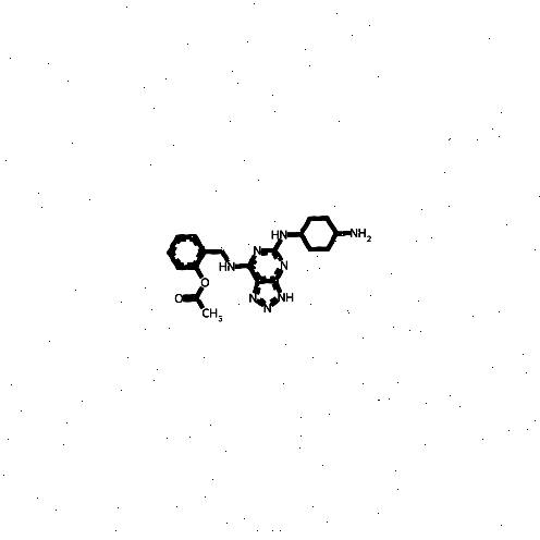 CC(=O)Oc1ccccc1CNc1nc(NC2CCC(N)CC2)nc2[nH]nnc12